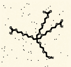 [2H]C(=O)OCCOCCOCC(COCCOCCOC([2H])=O)(COCCOCCOC([2H])=O)COCCOCCOC(C)=O